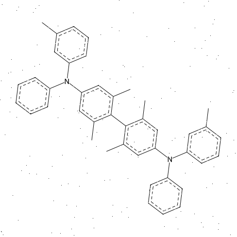 Cc1cccc(N(c2ccccc2)c2cc(C)c(-c3c(C)cc(N(c4ccccc4)c4cccc(C)c4)cc3C)c(C)c2)c1